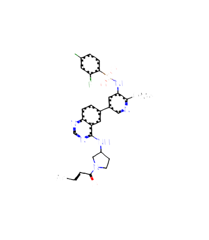 COc1ncc(-c2ccc3ncnc(NC4CCN(C(=O)/C=C/C(C)=O)C4)c3c2)cc1NS(=O)(=O)c1ccc(F)cc1F